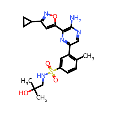 Cc1ccc(S(=O)(=O)NCC(C)(C)O)cc1-c1cnc(N)c(-c2cc(C3CC3)no2)n1